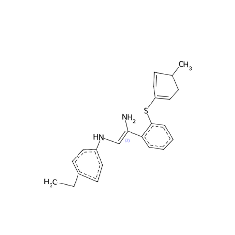 CCc1ccc(N/C=C(\N)c2ccccc2SC2=CCC(C)C=C2)cc1